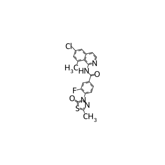 Cc1nn(-c2ccc(C(=O)Nc3nccc4cc(Cl)cc(C)c34)cc2F)c(=O)s1